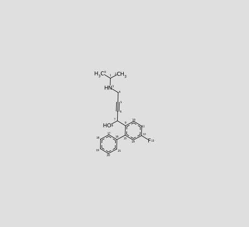 CC(C)NCC#CC(O)c1ccc(F)cc1-c1ccccc1